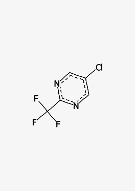 FC(F)(F)c1ncc(Cl)cn1